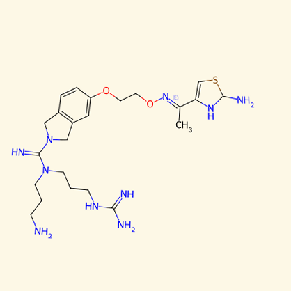 C/C(=N\OCCOc1ccc2c(c1)CN(C(=N)N(CCCN)CCCNC(=N)N)C2)C1=CSC(N)N1